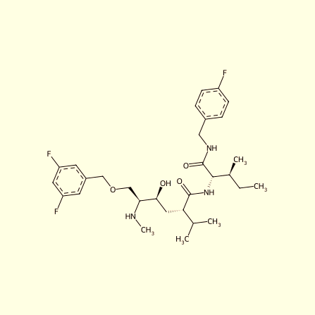 CC[C@H](C)[C@H](NC(=O)[C@@H](C[C@H](O)[C@H](COCc1cc(F)cc(F)c1)NC)C(C)C)C(=O)NCc1ccc(F)cc1